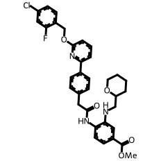 COC(=O)c1ccc(NC(=O)Cc2ccc(-c3cccc(OCc4ccc(Cl)cc4F)n3)cc2)c(NCC2CCCCO2)c1